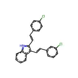 Clc1ccc(/C=C/c2[nH]c3ccccc3c2/C=C/c2cccc(Cl)c2)cc1